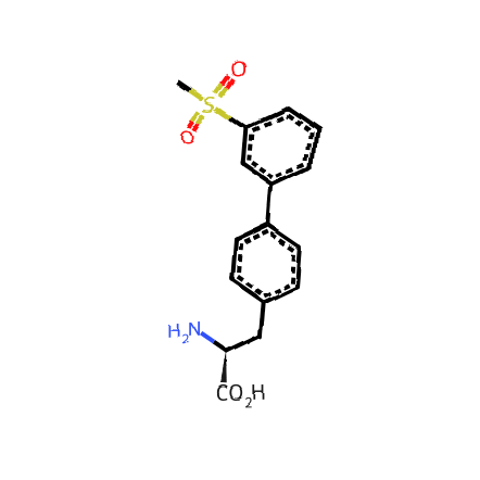 CS(=O)(=O)c1cccc(-c2ccc(C[C@H](N)C(=O)O)cc2)c1